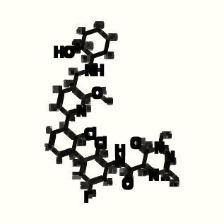 COc1nc(-c2cccc(-c3cc(F)cc(NC(=O)c4nc(C)nn(C)c4=O)c3Cl)c2Cl)ccc1CNC1CCCC[C@@H]1O